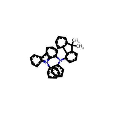 CC1(C)c2ccccc2-c2c(N(c3ccccc3)c3cccc4c5ccccc5n(-c5ccccc5)c34)cccc21